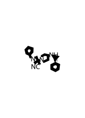 N#CCC1(N2CCC(N[C@@H]3C[C@H]3c3ccccc3)CC2)CN(Cc2ccccc2)C1